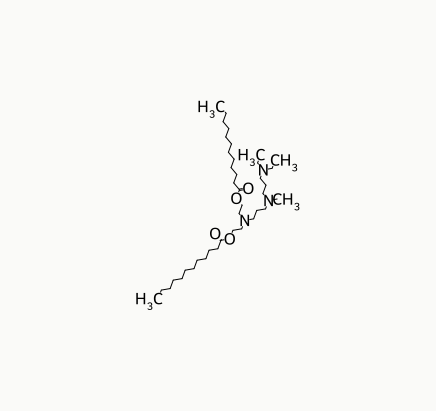 CCCCCCCCCCCC(=O)OCCN(CCCN(C)CCCN(CC)CC)CCOC(=O)CCCCCCCCCCC